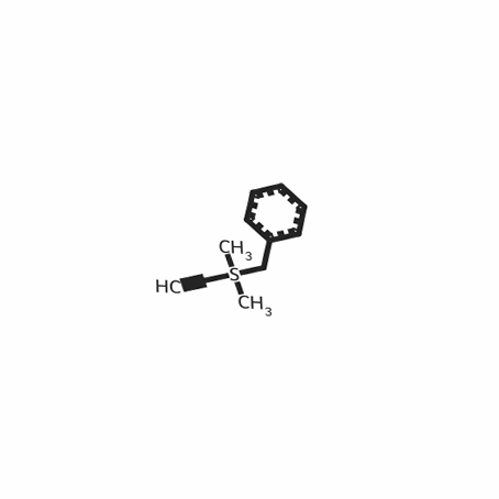 C#CS(C)(C)Cc1ccccc1